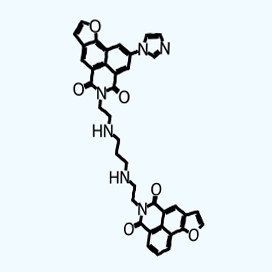 O=C1c2cccc3c2c(cc2ccoc23)C(=O)N1CCNCCCNCCN1C(=O)c2cc(-n3ccnc3)cc3c2c(cc2ccoc23)C1=O